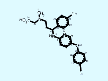 CN(CCC(Nc1ccc(Oc2ccc(F)cc2)cn1)c1ccc(F)cc1)CC(=O)O